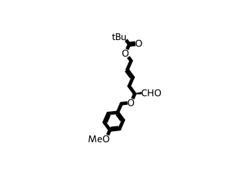 COc1ccc(CO[C@H](C=O)C/C=C/COC(=O)C(C)(C)C)cc1